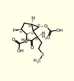 CSCC[C@@](N)(C(N)=O)[C@@]12C(OC(=O)O)[C@@H](F)C[C@H]1[C@@H]2OC(=O)O